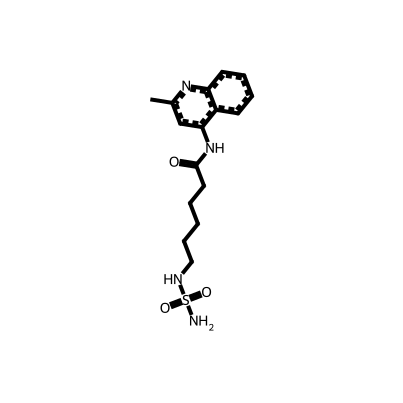 Cc1cc(NC(=O)CCCCCNS(N)(=O)=O)c2ccccc2n1